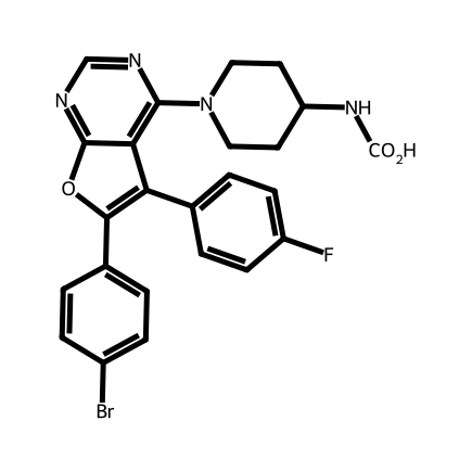 O=C(O)NC1CCN(c2ncnc3oc(-c4ccc(Br)cc4)c(-c4ccc(F)cc4)c23)CC1